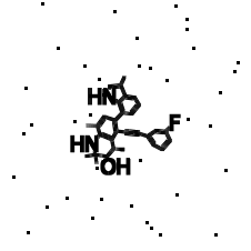 Cc1cc(-c2cccc3c(C)c[nH]c23)c(C#Cc2cccc(F)c2)c2c1NC(C)(C)[C@@H](O)[C@@H]2C